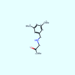 COC(=O)CNCc1cc(OC)cc(OC)c1